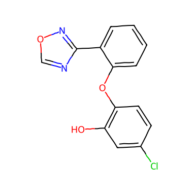 Oc1cc(Cl)ccc1Oc1ccccc1-c1ncon1